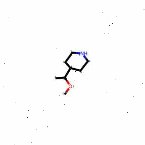 COC(C)C1CCNCC1